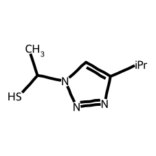 CC(C)c1cn(C(C)S)nn1